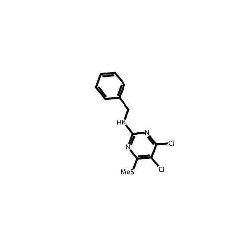 CSc1nc(NCc2ccccc2)nc(Cl)c1Cl